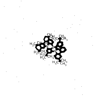 CC(C)(C)c1ccc(N2c3cc(C(C)(C)C)cc4c3B(c3ccc5c6c3N4c3cc4c(cc3C6(C)CCC5(C)C)C(C)(C)CCC4(C)C)c3c2sc2ccc(C(C)(C)C)cc32)c(-c2ccccc2)c1